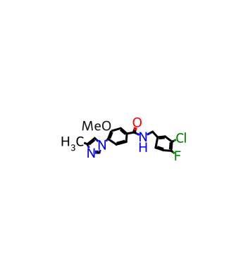 COc1cc(C(=O)NCc2ccc(F)c(Cl)c2)ccc1-n1cnc(C)c1